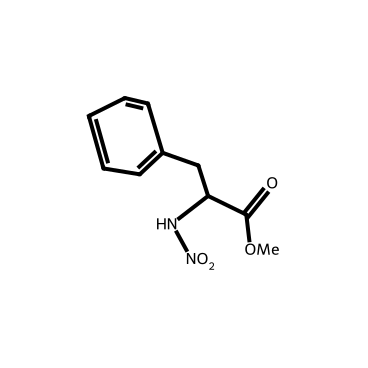 COC(=O)C(Cc1ccccc1)N[N+](=O)[O-]